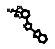 CC(C)(C)c1cccc(-n2cc(-c3nc4ccccc4o3)cn2)c1